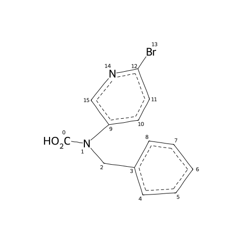 O=C(O)N(Cc1ccccc1)c1ccc(Br)nc1